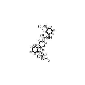 NS(=O)(=O)N1CC2(CCN(C(=O)Nc3cccc([N+](=O)[O-])c3)CC2)c2ccccc21